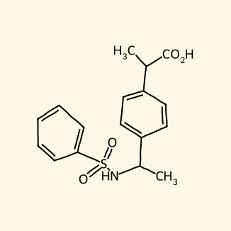 CC(NS(=O)(=O)c1ccccc1)c1ccc(C(C)C(=O)O)cc1